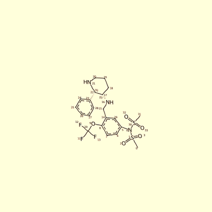 CS(=O)(=O)N(c1ccc(OC(F)(F)F)c(CN[C@H]2CCCN[C@H]2c2ccccc2)c1)S(C)(=O)=O